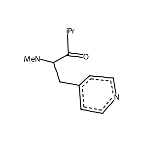 CNC(Cc1ccncc1)C(=O)C(C)C